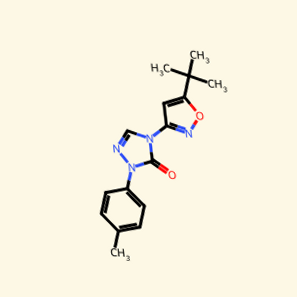 Cc1ccc(-n2ncn(-c3cc(C(C)(C)C)on3)c2=O)cc1